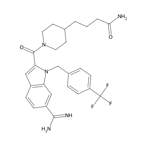 N=C(N)c1ccc2cc(C(=O)N3CCC(CCCC(N)=O)CC3)n(Cc3ccc(C(F)(F)F)cc3)c2c1